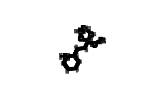 CCO[Si](CCC1CCCCN1)(OCC)OCC